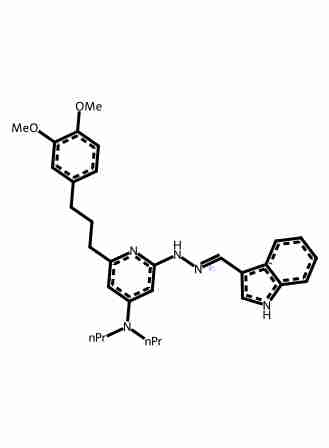 CCCN(CCC)c1cc(CCCc2ccc(OC)c(OC)c2)nc(N/N=C/c2c[nH]c3ccccc23)c1